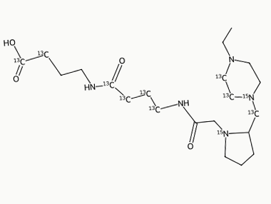 CCN1CC[15N]([13CH2]C2CCC[15N]2CC(=O)N[13CH2][13CH2][13CH2][13C](=O)NCC[13CH2][13C](=O)O)[13CH2][13CH2]1